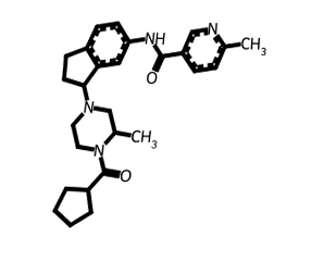 Cc1ccc(C(=O)Nc2ccc3c(c2)C(N2CCN(C(=O)C4CCCC4)C(C)C2)CC3)cn1